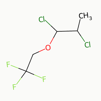 CC(Cl)C(Cl)OCC(F)(F)F